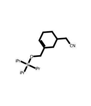 CC(C)[Si](OCC1=CCCC(CC#N)C1)(C(C)C)C(C)C